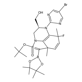 C=C(B1OC(C)(C)C(C)(C)O1)C1(C)C=CC(C)(F)C2=C1N(C(=O)OC(C)(C)C)C[C@@H](CO)N2c1ncc(Br)cn1